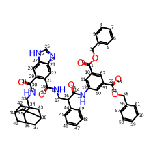 O=C(OCc1ccccc1)c1cc(NC(=O)C(CNC(=O)c2cc3nc[nH]c3cc2C(=O)NCC23CC4CC(CC(C4)C2)C3)c2ccccc2)cc(C(=O)OCc2ccccc2)c1